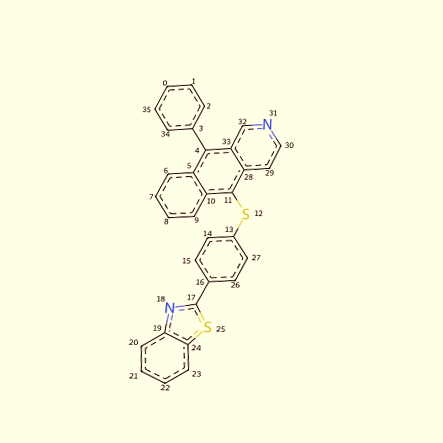 c1ccc(-c2c3ccccc3c(Sc3ccc(-c4nc5ccccc5s4)cc3)c3ccncc23)cc1